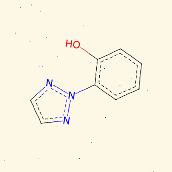 Oc1ccccc1-n1nccn1